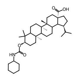 CC(C)[C@@H]1CC[C@]2(C(=O)O)CC[C@]3(C)C(CCC4[C@@]5(C)CC[C@@H](OC(=O)NC6CCCCC6)C(C)(C)C5CC[C@]43C)C12